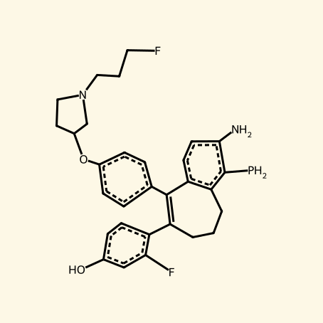 Nc1ccc2c(c1P)CCCC(c1ccc(O)cc1F)=C2c1ccc(OC2CCN(CCCF)C2)cc1